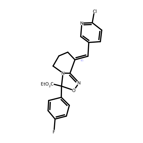 CCOC(=O)C1(c2ccc(F)cc2)ON=C2/C(=C/c3ccc(Cl)nc3)CCCN21